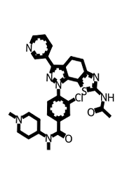 CC(=O)Nc1nc2c(s1)-c1c(c(-c3cccnc3)nn1-c1ccc(C(=O)N(C)C3CCN(C)CC3)cc1Cl)CC2